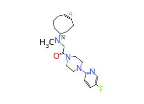 CN(CC(=O)N1CCN(c2ccc(F)cn2)CC1)[C@@H]1CC/C=C\CCC1